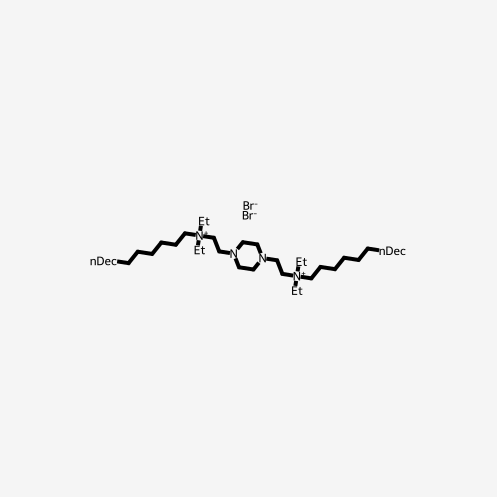 CCCCCCCCCCCCCCCC[N+](CC)(CC)CCN1CCN(CC[N+](CC)(CC)CCCCCCCCCCCCCCCC)CC1.[Br-].[Br-]